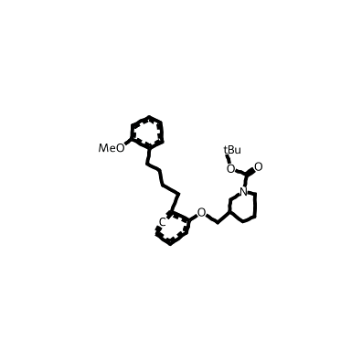 COc1ccccc1CCCCc1ccccc1OCC1CCCN(C(=O)OC(C)(C)C)C1